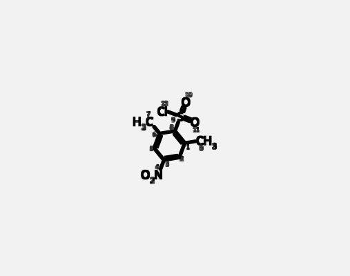 Cc1cc([N+](=O)[O-])cc(C)c1S(=O)(=O)Cl